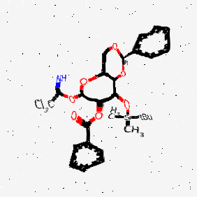 CC(C)(C)[Si](C)(C)OC1C2O[C@H](c3ccccc3)OCC2OC(OC(=N)C(Cl)(Cl)Cl)C1OC(=O)c1ccccc1